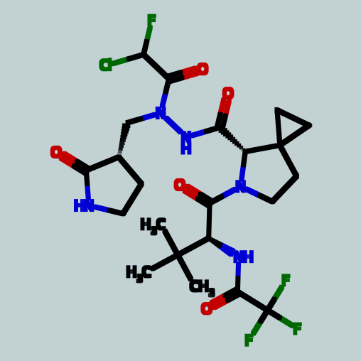 CC(C)(C)[C@H](NC(=O)C(F)(F)F)C(=O)N1CCC2(CC2)[C@H]1C(=O)NN(C[C@@H]1CCNC1=O)C(=O)C(F)Cl